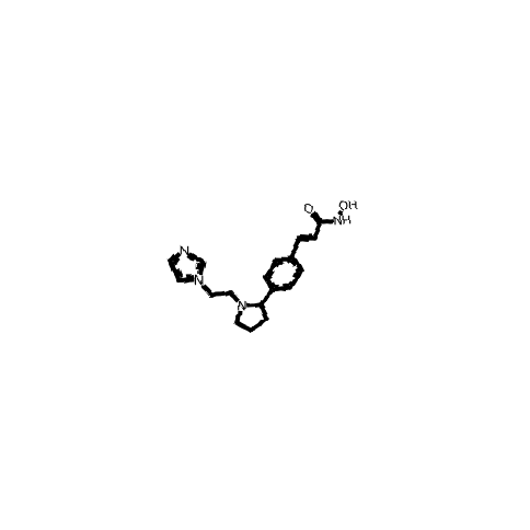 O=C(C=Cc1ccc(C2CCCN2CCn2ccnc2)cc1)NO